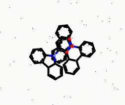 C1=CC(c2ccccc2N2c3ccccc3C3C=CC=CC32)C(c2ccccc2-n2c3ccccc3c3ccccc32)C=C1